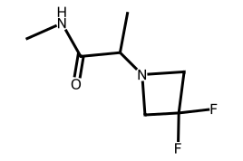 CNC(=O)C(C)N1CC(F)(F)C1